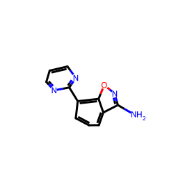 Nc1noc2c(-c3ncccn3)cccc12